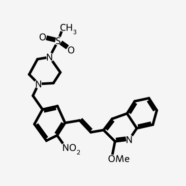 COc1nc2ccccc2cc1C=Cc1cc(CN2CCN(S(C)(=O)=O)CC2)ccc1[N+](=O)[O-]